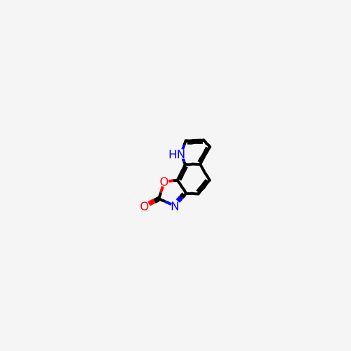 O=c1nc2ccc3ccc[nH]c3c2o1